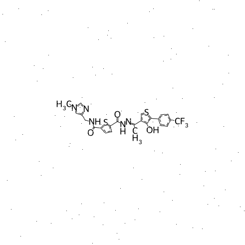 C/C(=N\NC(=O)c1ccc(C(=O)NCc2cn(C)cn2)s1)c1csc(-c2ccc(C(F)(F)F)cc2)c1O